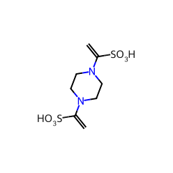 C=C(N1CCN(C(=C)S(=O)(=O)O)CC1)S(=O)(=O)O